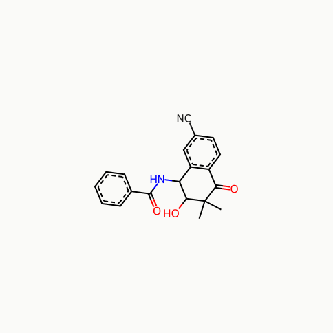 CC1(C)C(=O)c2ccc(C#N)cc2C(NC(=O)c2ccccc2)C1O